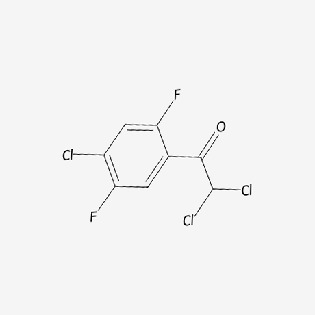 O=C(c1cc(F)c(Cl)cc1F)C(Cl)Cl